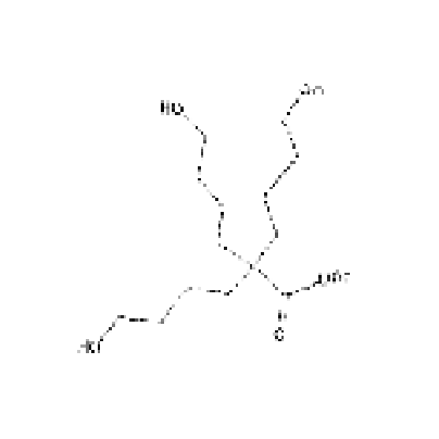 CC(=O)OC(=O)C(CCCCO)(CCCCO)CCCCO